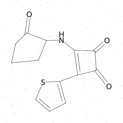 O=C1CCCC1Nc1c(-c2cccs2)c(=O)c1=O